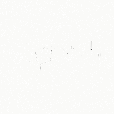 COc1cc(CC=NCC(=O)O)cc(OC)c1OC